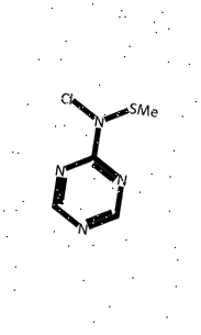 CSN(Cl)c1ncncn1